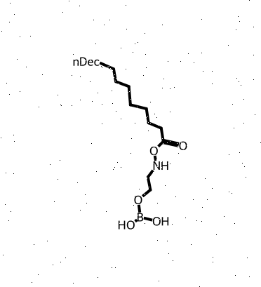 CCCCCCCCCCCCCCCCCC(=O)ONCCOB(O)O